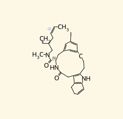 C=CC(C/C=C\C)CN(C)C(=O)[C@@H]1Cc2cc(I)cc(c2)CCCc2[nH]c3c(c2CC(=O)N1)CCC=C3